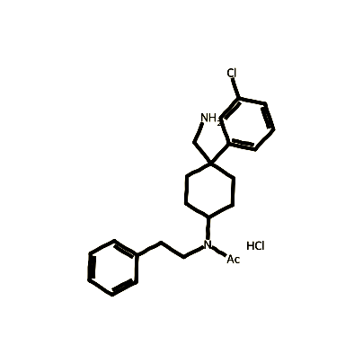 CC(=O)N(CCc1ccccc1)C1CCC(CN)(c2cccc(Cl)c2)CC1.Cl